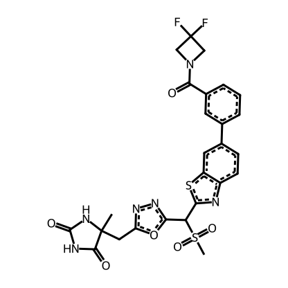 CC1(Cc2nnc(C(c3nc4ccc(-c5cccc(C(=O)N6CC(F)(F)C6)c5)cc4s3)S(C)(=O)=O)o2)NC(=O)NC1=O